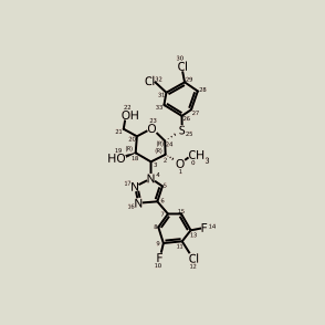 CO[C@@H]1C(n2cc(-c3cc(F)c(Cl)c(F)c3)nn2)[C@@H](O)C(CO)O[C@@H]1Sc1ccc(Cl)c(Cl)c1